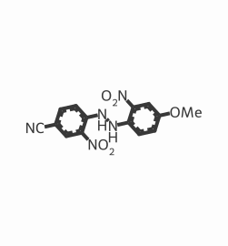 COc1ccc(NNc2ccc(C#N)cc2[N+](=O)[O-])c([N+](=O)[O-])c1